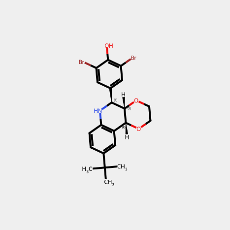 CC(C)(C)c1ccc2c(c1)[C@H]1OCCO[C@H]1[C@H](c1cc(Br)c(O)c(Br)c1)N2